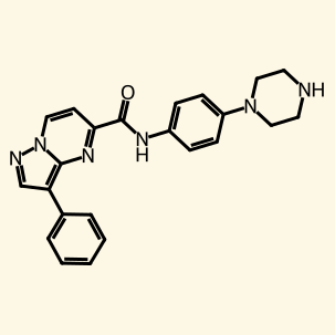 O=C(Nc1ccc(N2CCNCC2)cc1)c1ccn2ncc(-c3ccccc3)c2n1